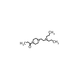 CCCN(CCC)CCN1CCN(C(=O)CC)CC1